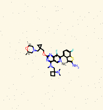 C[C@@H]1CN(CC2(COc3nc(N(C)CC4(N(C)C)CCC4)c4cnc(C5=CC=C(F)C6SC(N)=C(C#N)C56)c(F)c4n3)CC2)C[C@@H](C)O1